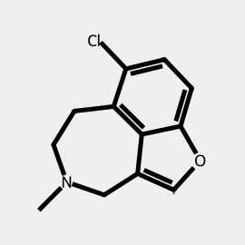 CN1CCc2c(Cl)ccc3o[c]c(c23)C1